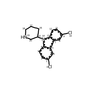 Clc1ccc2c(c1)c1cc(Cl)ccc1n2C1CCCNC1